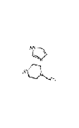 CN1CCNCC1.c1c[nH]cn1